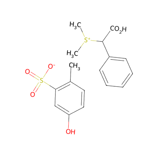 C[S+](C)C(C(=O)O)c1ccccc1.Cc1ccc(O)cc1S(=O)(=O)[O-]